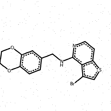 Brc1csc2ccnc(NCc3ccc4c(c3)OCCO4)c12